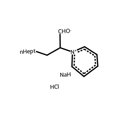 CCCCCCCCC([C]=O)[n+]1ccccc1.Cl.[NaH]